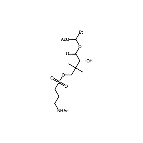 CCC(OC(C)=O)OC(=O)[C@H](O)C(C)(C)COS(=O)(=O)CCCNC(C)=O